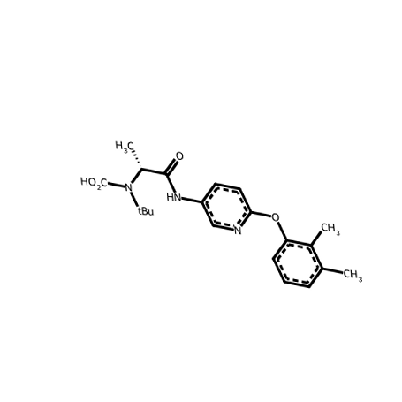 Cc1cccc(Oc2ccc(NC(=O)[C@@H](C)N(C(=O)O)C(C)(C)C)cn2)c1C